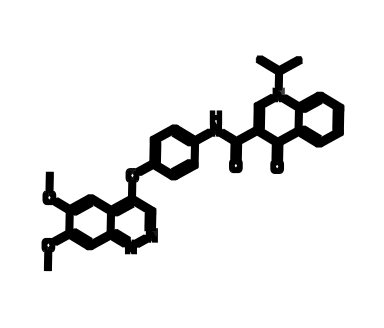 COc1cc2nncc(Oc3ccc(NC(=O)c4cn(C(C)C)c5ccccc5c4=O)cc3)c2cc1OC